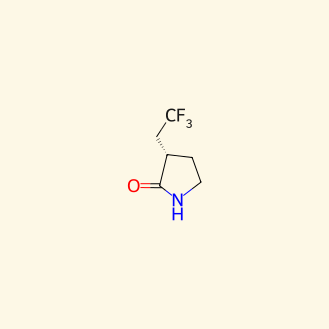 O=C1NCC[C@H]1CC(F)(F)F